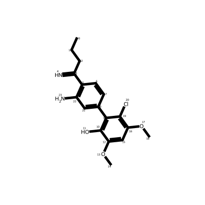 CCCC(=N)c1ccc(-c2c(O)c(OC)cc(OC)c2Cl)cc1N